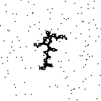 CCOP(=O)(CCC(=O)OCOC(O)=S)OCC